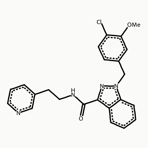 COc1cc(Cn2nc(C(=O)NCCc3cccnc3)c3ccccc32)ccc1Cl